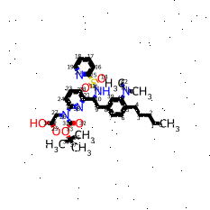 CCCCCc1ccc(CC(NS(=O)(=O)c2ccccn2)c2cccc(N(CC(=O)O)C(=O)OC(C)(C)C)n2)cc1N(C)C